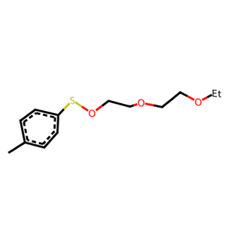 CCOCCOCCOSc1ccc(C)cc1